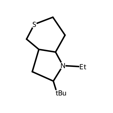 CCN1C2CCSCC2CC1C(C)(C)C